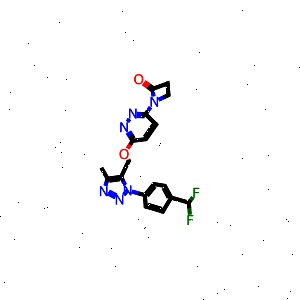 Cc1nnn(-c2ccc(C(F)F)cc2)c1COc1ccc(N2CCC2=O)nn1